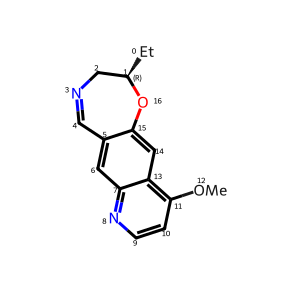 CC[C@@H]1CN=Cc2cc3nccc(OC)c3cc2O1